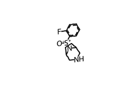 [O-][S+](c1ccccc1F)N1C2CCC1CNC2